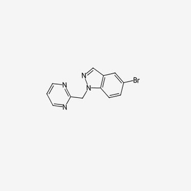 Brc1ccc2c(cnn2Cc2ncccn2)c1